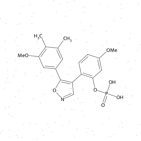 COc1ccc(-c2cnoc2-c2cc(C)c(C)c(OC)c2)c(OP(=O)(O)O)c1